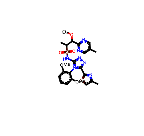 CCOC(c1ncc(C)cn1)C(C)S(=O)(=O)Nc1nnc(-c2nc(C)cs2)n1-c1c(OC)cccc1OC